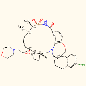 C[C@@H]1[C@@H](C)CCC[C@@](O)(CCN2CCOCC2)[C@@H]2CC[C@H]2CN2C[C@@]3(CCCc4cc(Cl)ccc43)COc3ccc(cc32)C(=O)NS1(=O)=O